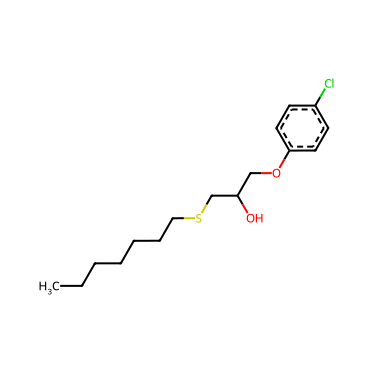 CCCCCCCSCC(O)COc1ccc(Cl)cc1